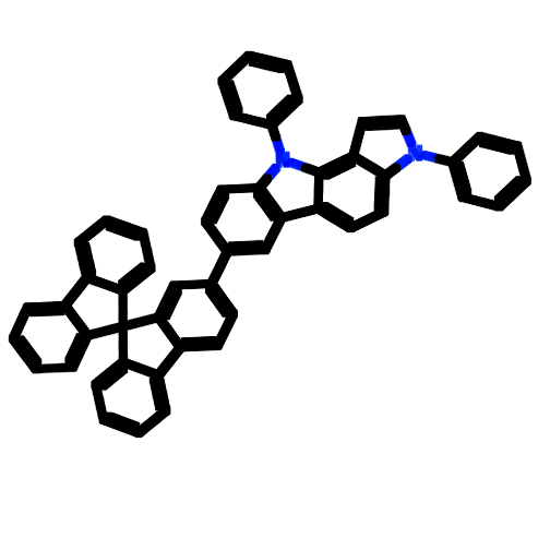 c1ccc(-n2ccc3c2ccc2c4cc(-c5ccc6c(c5)C5(c7ccccc7-c7ccccc75)c5ccccc5-6)ccc4n(-c4ccccc4)c23)cc1